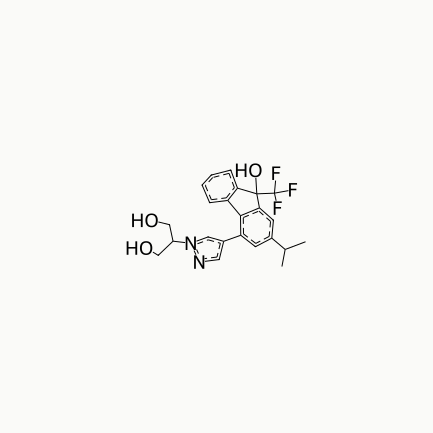 CC(C)c1cc(-c2cnn(C(CO)CO)c2)c2c(c1)C(O)(C(F)(F)F)c1ccccc1-2